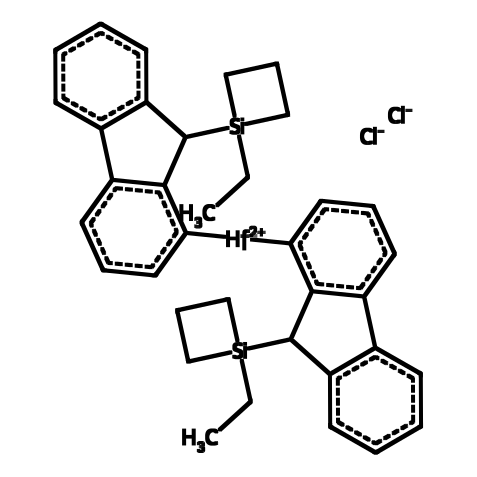 CC[Si]1(C2c3ccccc3-c3ccc[c]([Hf+2][c]4cccc5c4C([Si]4(CC)CCC4)c4ccccc4-5)c32)CCC1.[Cl-].[Cl-]